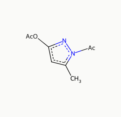 CC(=O)Oc1cc(C)n(C(C)=O)n1